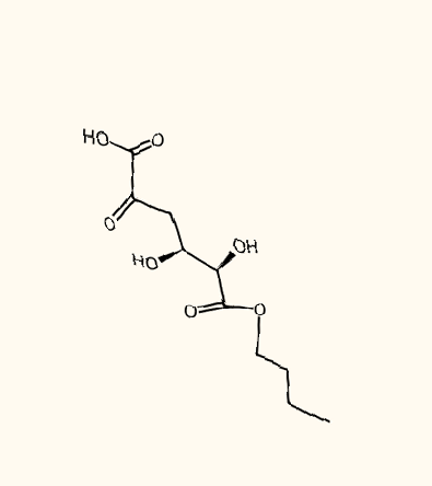 CCCCOC(=O)[C@H](O)[C@@H](O)CC(=O)C(=O)O